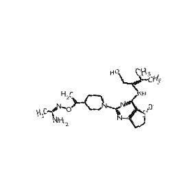 C=C(O/N=C(/C)N)C1CCN(c2nc3c(c(NC(CO)=C(C)C)n2)[S+]([O-])CC3)CC1